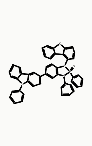 O=P1(c2ccccc2)N(c2ccccc2)c2cc(-c3ccc4c(c3)c3ccccc3n4-c3ccccc3)ccc2N1c1cccc2oc3ccccc3c12